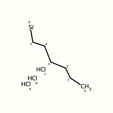 CCCCCC[Si].Cl.Cl.Cl